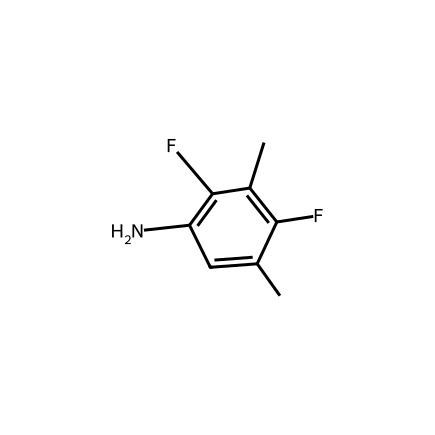 Cc1cc(N)c(F)c(C)c1F